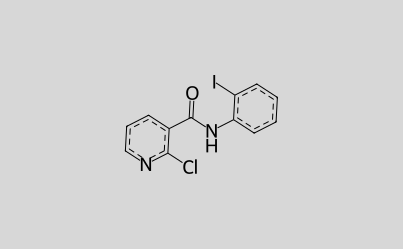 O=C(Nc1ccccc1I)c1cccnc1Cl